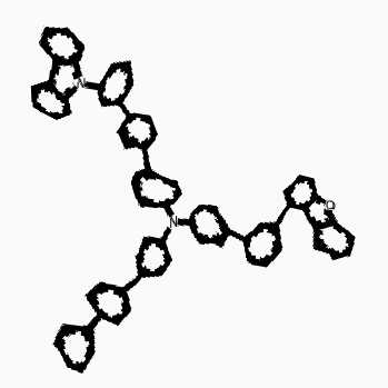 c1ccc(-c2ccc(-c3ccc(N(c4ccc(-c5ccc(-c6cccc(-n7c8ccccc8c8ccccc87)c6)cc5)cc4)c4ccc(-c5cccc(-c6cccc7oc8ccccc8c67)c5)cc4)cc3)cc2)cc1